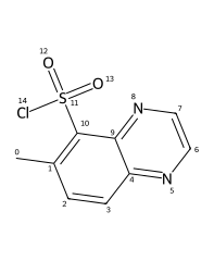 Cc1ccc2nccnc2c1S(=O)(=O)Cl